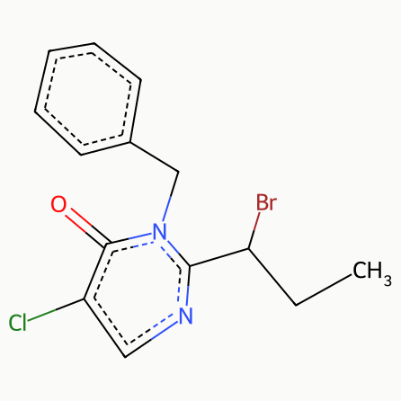 CCC(Br)c1ncc(Cl)c(=O)n1Cc1ccccc1